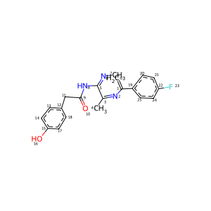 C=C(/N=C(C)\C(=N/C)NC(=O)Cc1ccc(O)cc1)c1ccc(F)cc1